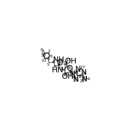 Cc1ccc(CC(N)CC(=O)NC2C(CO)OC(n3cnc4c(N(C)C)ncnc43)C2O)cc1